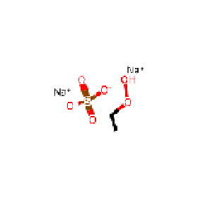 CCOO.O=S(=O)([O-])[O-].[Na+].[Na+]